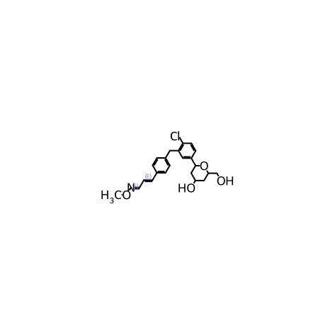 CO/N=C/C=C/c1ccc(Cc2cc(C3CC(O)CC(CO)O3)ccc2Cl)cc1